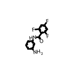 Nc1cccc(NC(=O)c2c(F)cc(F)cc2F)c1